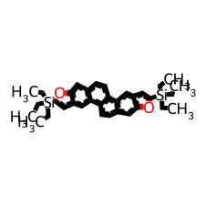 CC[Si](CC)(CC)c1cc2cc3c(ccc4c5cc6cc([Si](CC)(CC)CC)oc6cc5ccc34)cc2o1